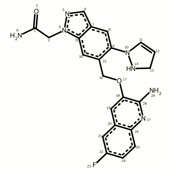 NC(=O)Cn1ncc2cc(N3C=CCN3)c(COc3cc4cc(F)ccc4nc3N)cc21